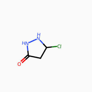 O=C1CC(Cl)NN1